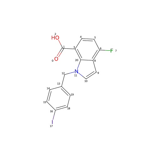 O=C(O)c1ccc(F)c2ccn(Cc3ccc(I)cc3)c12